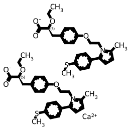 CCO[C@@H](Cc1ccc(OCCn2c(C)ccc2-c2ccc(SC)cc2)cc1)C(=O)[O-].CCO[C@@H](Cc1ccc(OCCn2c(C)ccc2-c2ccc(SC)cc2)cc1)C(=O)[O-].[Ca+2]